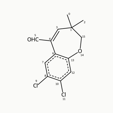 CC1(C)C=C(C=O)c2cc(Cl)c(Cl)cc2OC1